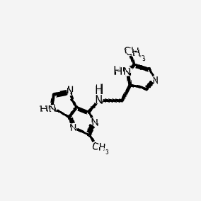 CC1=CN=CC(CNc2nc(C)nc3[nH]cnc23)N1